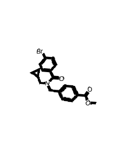 COC(=O)c1ccc(CN(CC2CC2)C(=O)c2ccc(Br)cc2)cc1